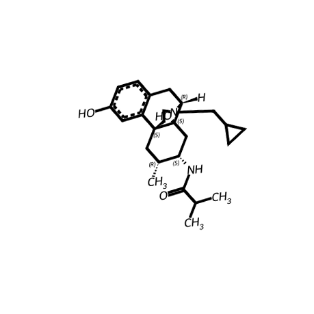 CC(C)C(=O)N[C@H]1C[C@@]2(O)[C@H]3Cc4ccc(O)cc4[C@@]2(CCN3CC2CC2)C[C@H]1C